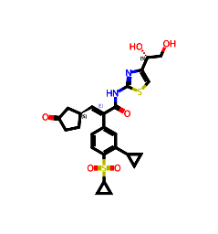 O=C1CC[C@H](/C=C(/C(=O)Nc2nc([C@H](O)CO)cs2)c2ccc(S(=O)(=O)C3CC3)c(C3CC3)c2)C1